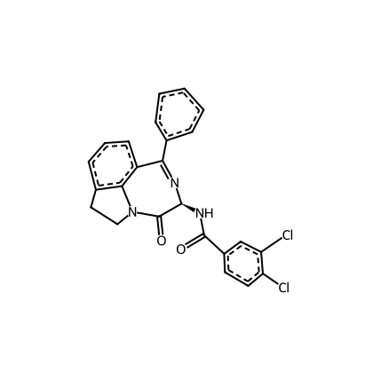 O=C(N[C@@H]1N=C(c2ccccc2)c2cccc3c2N(CC3)C1=O)c1ccc(Cl)c(Cl)c1